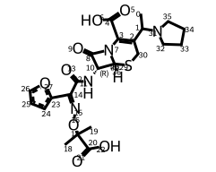 CC(C1=C(C(=O)O)N2C(=O)[C@@H](NC(=O)C(=NOC(C)(C)C(=O)O)c3ccco3)[C@H]2SC1)N1CCCC1